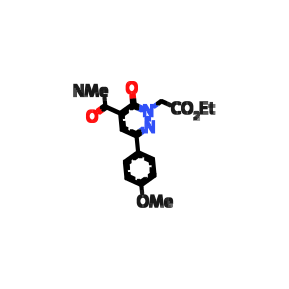 CCOC(=O)Cn1nc(-c2ccc(OC)cc2)cc(C(=O)NC)c1=O